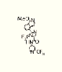 COc1nccc2c(-c3ncc(C(=O)Nc4ccnc(C(F)(F)F)c4)n3C(F)(F)F)cccc12